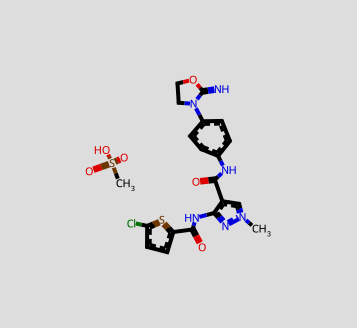 CS(=O)(=O)O.Cn1cc(C(=O)Nc2ccc(N3CCOC3=N)cc2)c(NC(=O)c2ccc(Cl)s2)n1